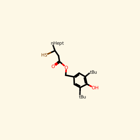 CCCCCCCC(S)CC(=O)OCc1cc(C(C)(C)C)c(O)c(C(C)(C)C)c1